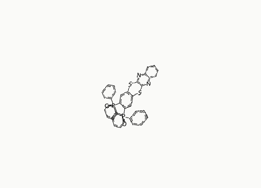 O=P(c1ccccc1)(c1ccccc1)c1cc2c(cc1P(=O)(c1ccccc1)c1ccccc1)Sc1nc3ccccc3nc1S2